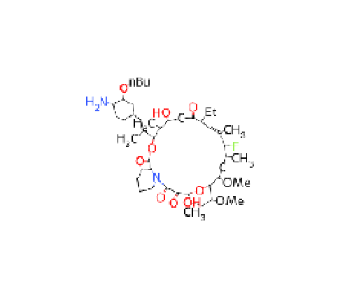 CCCCOC1CC(C=C(C)C2OC(=O)C3CCCCN3C(=O)C(=O)C3(O)OC(C(OC)CC(C)C(F)/C(C)=C/C(CC)C(=O)CC(O)C2C)C(OC)CC3C)CCC1N